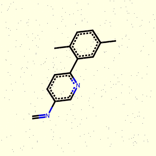 C=Nc1ccc(-c2cc(C)ccc2C)nc1